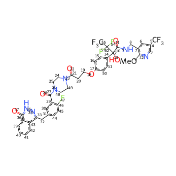 COc1ncc(C(F)(F)F)cc1CNC(=O)C(O)(c1ccc(OCCC(=O)N2CCN(C(=O)c3cc(Cc4n[nH]c(=O)c5ccccc45)ccc3F)CC2)cc1)C(F)(F)C(F)(F)F